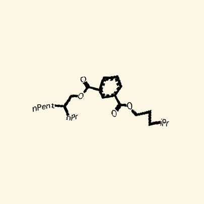 CCCCCC(CCC)COC(=O)c1cccc(C(=O)OCCCC(C)C)c1